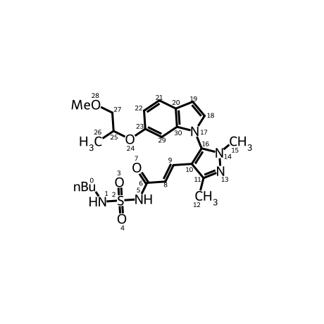 CCCCNS(=O)(=O)NC(=O)/C=C/c1c(C)nn(C)c1-n1ccc2ccc(OC(C)COC)cc21